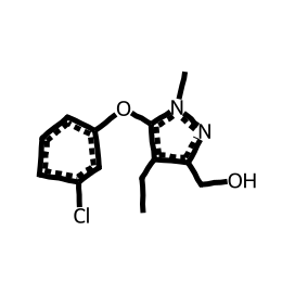 CCc1c(CO)nn(C)c1Oc1cccc(Cl)c1